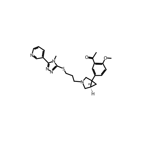 COc1ccc(C23C[C@H]2CN(CCCSc2nnc(-c4cccnc4)n2C)C3)cc1C(C)=O